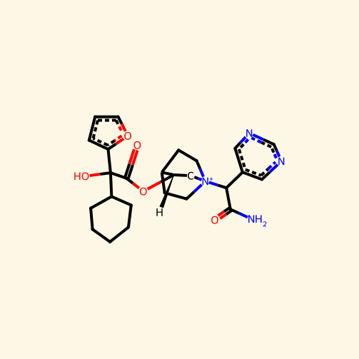 NC(=O)C(c1cncnc1)[N+]12CCC(CC1)[C@@H](OC(=O)C(O)(c1ccco1)C1CCCCC1)C2